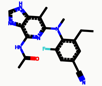 CCc1cc(C#N)cc(F)c1N(C)c1nc(NC(C)=O)c2nc[nH]c2c1C